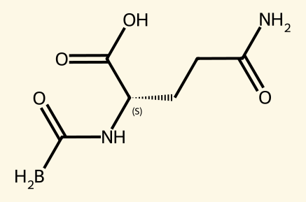 BC(=O)N[C@@H](CCC(N)=O)C(=O)O